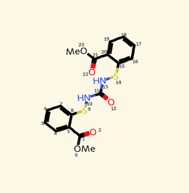 COC(=O)c1ccccc1SNC(=O)NSc1ccccc1C(=O)OC